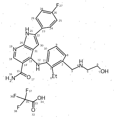 CCc1c(CNCCO)cccc1Nc1c(C(N)=O)cnc2[nH]c(-c3ccc(F)cc3)cc12.O=C(O)C(F)(F)F